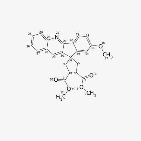 COC(=O)CCC1(CCC(=O)OC)c2cc(OC)ccc2-c2nc3ccccc3cc21